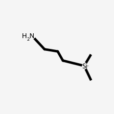 C[Si](C)CCCN